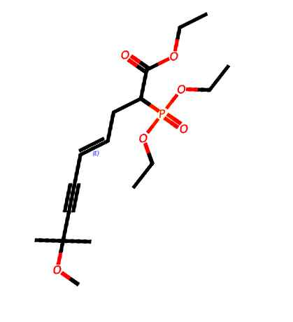 CCOC(=O)C(C/C=C/C#CC(C)(C)OC)P(=O)(OCC)OCC